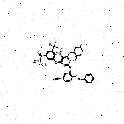 CC(C)CC(Oc1nc(Oc2cc(C#N)ccc2OCc2ccccc2)nc(Oc2cc(C(=O)N(C)C)cc(C(F)(F)F)c2)c1[N+](=O)[O-])C(=O)O